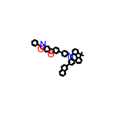 CC1(C)c2ccccc2-c2c(N(c3ccc(-c4ccc5c(c4)oc4cc6oc(-c7ccccc7)nc6cc45)cc3)c3cccc(-c4ccc5ccccc5c4)c3)cccc21